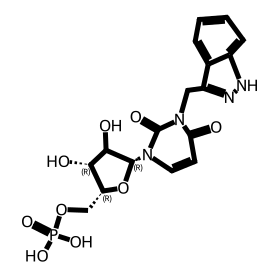 O=c1ccn([C@@H]2O[C@H](COP(=O)(O)O)[C@H](O)C2O)c(=O)n1Cc1n[nH]c2ccccc12